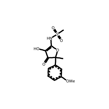 COc1cccc(C2(C)OC(NS(C)(=O)=O)=C(O)C2=O)c1